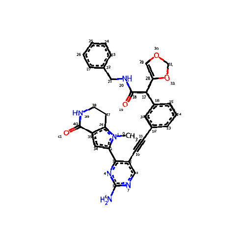 Cn1c(-c2nc(N)ncc2C#Cc2cccc(C(C(=O)NCc3ccccc3)C3=COCO3)c2)cc2c1CCNC2=O